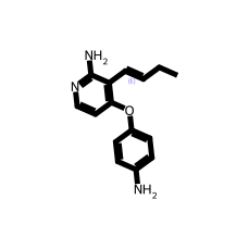 CC/C=C/c1c(Oc2ccc(N)cc2)ccnc1N